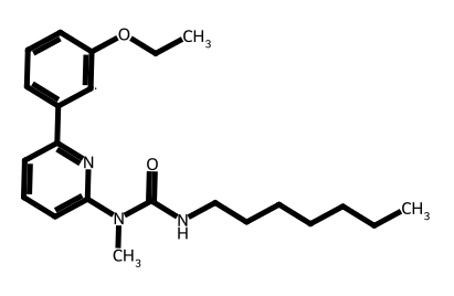 CCCCCCCNC(=O)N(C)c1cccc(-c2[c]c(OCC)ccc2)n1